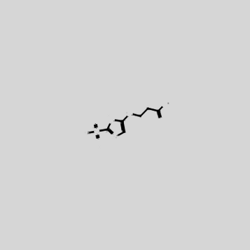 NS(=O)(=O)c1ncc(SCCC(=O)O)s1